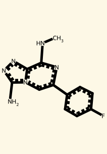 CNc1nc(-c2ccc(F)cc2)cn2c(N)nnc12